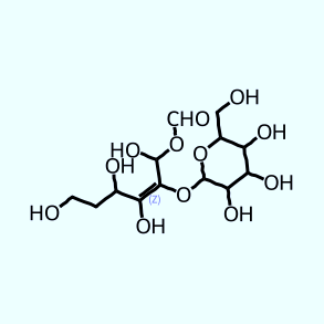 O=COC(O)/C(OC1OC(CO)C(O)C(O)C1O)=C(/O)C(O)CCO